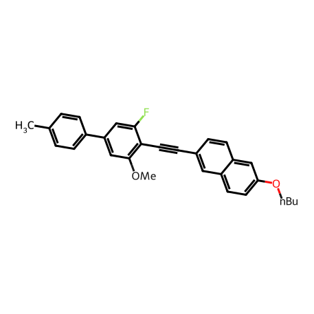 CCCCOc1ccc2cc(C#Cc3c(F)cc(-c4ccc(C)cc4)cc3OC)ccc2c1